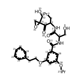 CC(C)CC(NC(=O)C(CO)NC(=O)c1cc(OCCc2ccccc2)cc(OC(C)C)c1)C(=O)C1(CO)CO1